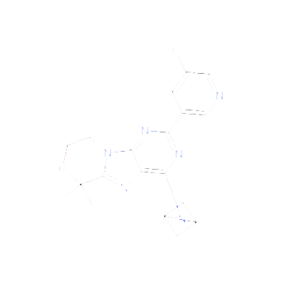 CC1(C)OCCn2c1nc1c(N3CC4CC3C4)nc(-c3cncc(C(F)(F)F)c3)nc12